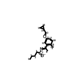 CCCC[S@+]([O-])/N=C(\C)c1cc(OCC2CC2)ccc1F